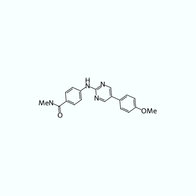 CNC(=O)c1ccc(Nc2ncc(-c3ccc(OC)cc3)cn2)cc1